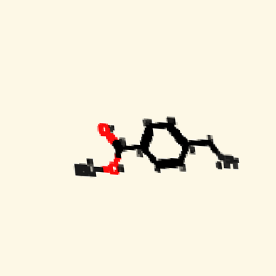 CC(C)Cc1ccc(C(=O)OC(C)(C)C)cc1